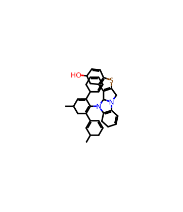 CC1C=C(C2=C(N3C4=C(C=CCC4)N4Cc5sc6c(c5C43)CC(O)C=C6)C(C3C=CC=CC3)=CC(C)C2)C=CC1